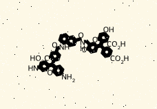 N=c1ccc2c(-c3ccc(C(=O)Nc4cccc5cc(C(=O)NCc6c7oc8cc(O)ccc8c(-c8ccc(C(=O)O)cc8C(=O)O)c-7ccc6=O)ccc45)cc3C(=O)O)c3ccc(N)cc3oc-2c1